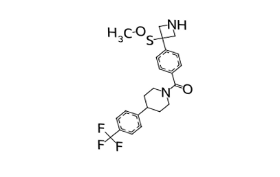 COSC1(c2ccc(C(=O)N3CCC(c4ccc(C(F)(F)F)cc4)CC3)cc2)CNC1